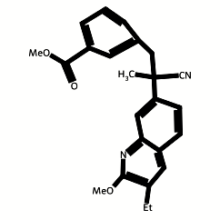 CCc1cc2ccc(C(C)(C#N)Cc3cccc(C(=O)OC)c3)cc2nc1OC